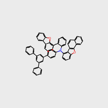 c1ccc(-c2cc(-c3ccccc3)cc(-c3ccc(N(c4ccccc4-c4cccc5c4oc4ccccc45)c4cccc5oc6c7ccccc7ccc6c45)cc3)c2)cc1